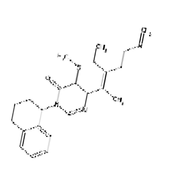 C=C/C(CCN=C)=C(/C)C1N=CN(C2CCCc3ccccc32)C(=O)C1SC